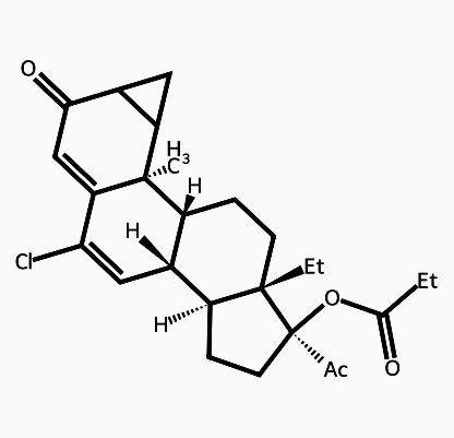 CCC(=O)O[C@@]1(C(C)=O)CC[C@H]2[C@@H]3C=C(Cl)C4=CC(=O)C5CC5[C@@]4(C)[C@@H]3CC[C@@]21CC